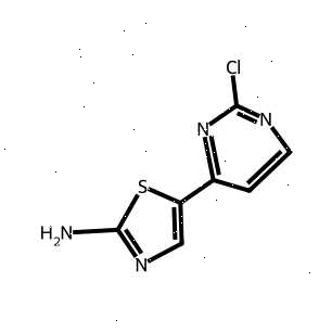 Nc1ncc(-c2ccnc(Cl)n2)s1